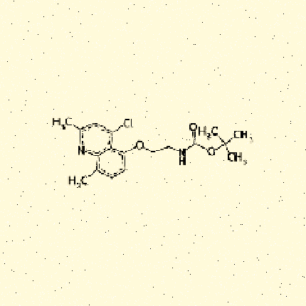 Cc1cc(Cl)c2c(OCCNC(=O)OC(C)(C)C)ccc(C)c2n1